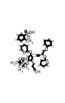 C#CCC[C@@H]1[C@@H](C#C[C@@H](COc2ccccc2)OC2CCCCO2)[C@H](OC2CCCCO2)C[C@@H]1O[Si](C)(C)C(C)(C)C.Cc1ccccc1S(=O)(=O)O